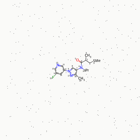 CSCC(C)C(=O)N(c1cn(-c2cncc(F)c2)nc1C)C(C)C